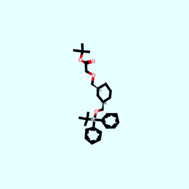 CC(C)(C)OC(=O)COC[C@H]1CCC[C@@H](CO[Si](c2ccccc2)(c2ccccc2)C(C)(C)C)C1